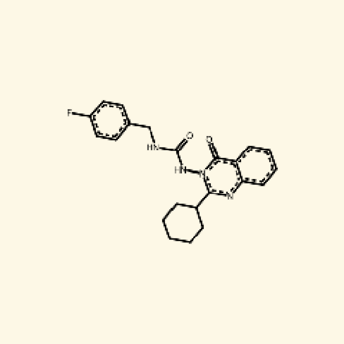 O=C(NCc1ccc(F)cc1)Nn1c(C2CCCCC2)nc2ccccc2c1=O